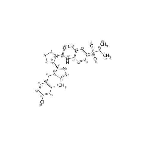 Cc1nnc([C@H]2CCCN2C(=O)Nc2ccc(S(=O)(=O)N(C)C)cc2Cl)n1Cc1ccc(Cl)cc1